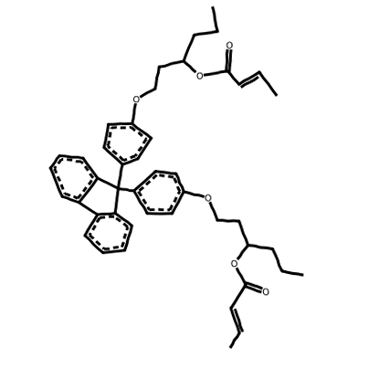 CC=CC(=O)OC(CCC)CCOc1ccc(C2(c3ccc(OCCC(CCC)OC(=O)C=CC)cc3)c3ccccc3-c3ccccc32)cc1